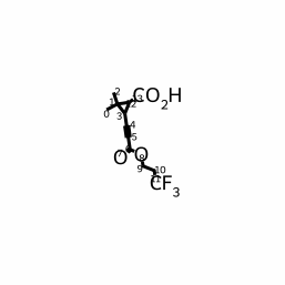 CC1(C)C(C#CC(=O)OCCC(F)(F)F)C1C(=O)O